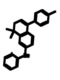 Cc1ccc(C2=CCC(C)(C)c3cc([Se]c4[c]cccc4)ccc32)cc1